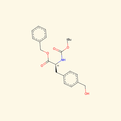 CC(C)(C)OC(=O)N[C@@H](Cc1ccc(CO)cc1)C(=O)OCc1ccccc1